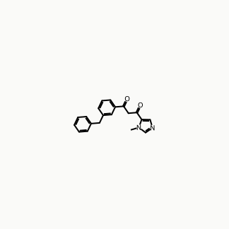 Cn1cncc1C(=O)CC(=O)c1cccc(Cc2ccccc2)c1